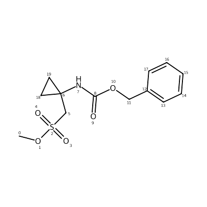 COS(=O)(=O)CC1(NC(=O)OCc2ccccc2)CC1